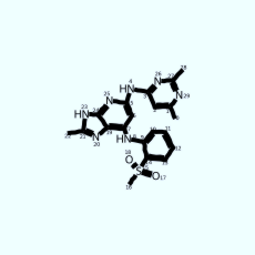 Cc1cc(Nc2cc(Nc3ccccc3S(C)(=O)=O)c3nc(C)[nH]c3n2)nc(C)n1